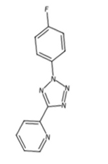 Fc1ccc(-n2nnc(-c3ccccn3)n2)cc1